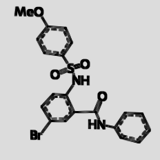 COc1ccc(S(=O)(=O)Nc2ccc(Br)cc2C(=O)Nc2ccccc2)cc1